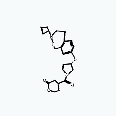 O=C1CC(C(=O)N2CC[C@H](Oc3ccc4c(c3)CCN(C3CCC3)CC4)C2)CCO1